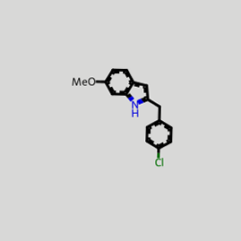 COc1ccc2cc(Cc3ccc(Cl)cc3)[nH]c2c1